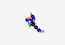 Cc1c(-c2ccc(N3CCNCC3)cc2)cc(C(F)F)c2cn(C(C(=O)Nc3nccs3)c3ncn4c3C[C@@H](F)C4)nc12